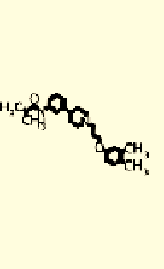 Cc1ccc(OCCCN2CCC(c3cccc(NC(=O)C(C)C)c3)CC2)cc1C